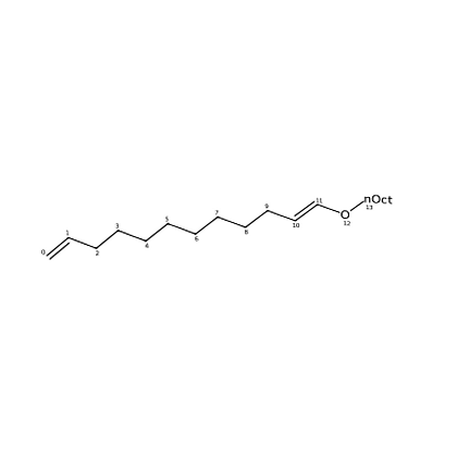 C=CCCCCCCCCC=COCCCCCCCC